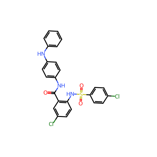 O=C(Nc1ccc(Nc2ccccc2)cc1)c1cc(Cl)ccc1NS(=O)(=O)c1ccc(Cl)cc1